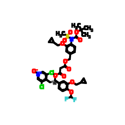 CC(C)(C)OC(=O)N(c1ccc(COC(=O)CC(=O)O[C@@H](Cc2c(Cl)c[n+]([O-])cc2Cl)c2ccc(OC(F)F)c(OCC3CC3)c2)cc1OCC1CC1)S(C)(=O)=O